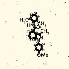 COc1ccc(-n2nc(C)c3c(C(=O)Nc4c(C)ccnc4C)ccnc32)cc1